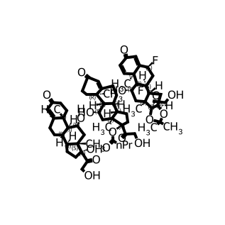 CC1(C)O[C@@H]2C[C@H]3[C@@H]4C[C@H](F)C5=CC(=O)C=C[C@]5(C)[C@@]4(F)[C@@H](O)C[C@]3(C)[C@]2(C(=O)CO)O1.CCCC(=O)O[C@]1(C(=O)CO)CC[C@H]2[C@@H]3CCC4=CC(=O)CC[C@]4(C)[C@H]3[C@@H](O)C[C@@]21C.C[C@]12CCC(=O)C=C1CC[C@@H]1[C@@H]2[C@@H](O)C[C@@]2(C)[C@H]1CC[C@]2(O)C(=O)CO